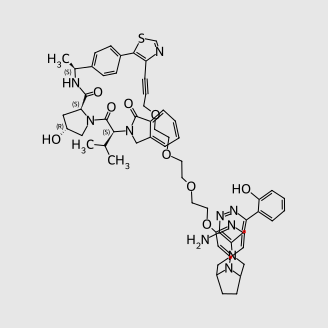 CC(C)[C@@H](C(=O)N1C[C@H](O)C[C@H]1C(=O)N[C@@H](C)c1ccc(-c2scnc2C#CCOCCOCCOCCOc2cc(N3C4CCC3CN(c3cc(-c5ccccc5O)nnc3N)C4)ccn2)cc1)N1Cc2ccccc2C1=O